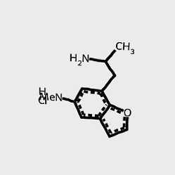 CNc1cc(CC(C)N)c2occc2c1.Cl